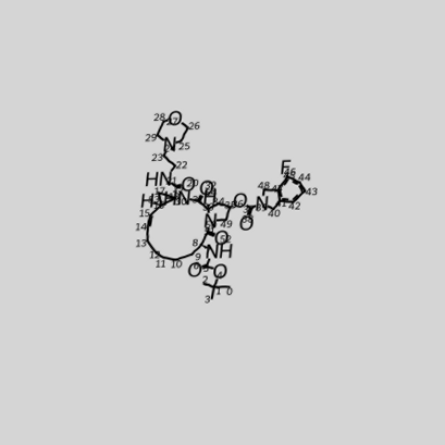 CC(C)(C)OC(=O)N[C@H]1CCCCC/C=C\[C@@H]2C[C@@]2(C(=O)NCCN2CCOCC2)NC(=O)[C@@H]2C[C@@H](OC(=O)N3Cc4cccc(F)c4C3)CN2C1=O